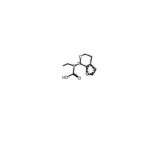 CCN(C(=O)O)[C@H]1OCCc2ccsc21